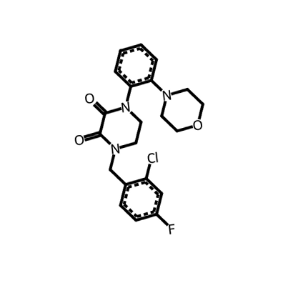 O=C1C(=O)N(c2ccccc2N2CCOCC2)CCN1Cc1ccc(F)cc1Cl